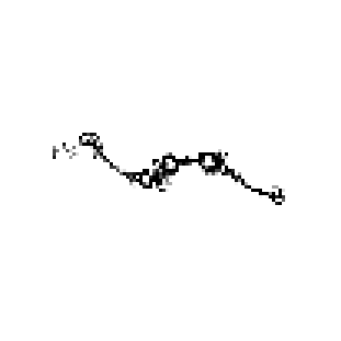 C=CC(=O)OCCCCCCCCCOC1CCC(C(=O)Oc2ccc(C#Cc3ccc(OCCCCCCCCCCCC4(CC)COC4)cc3)cc2)CC1